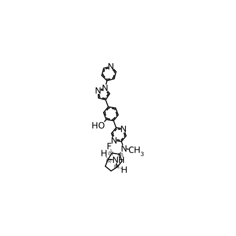 CN(c1cnc(-c2ccc(-c3cnn(-c4ccncc4)c3)cc2O)cn1)[C@@H]1C[C@H]2CC[C@H](N2)[C@@H]1F